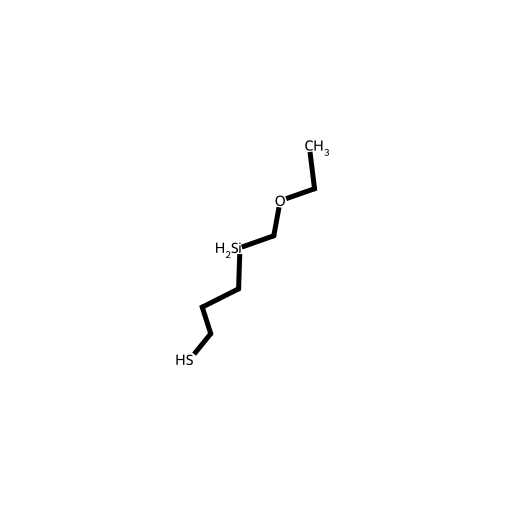 CCOC[SiH2]CCCS